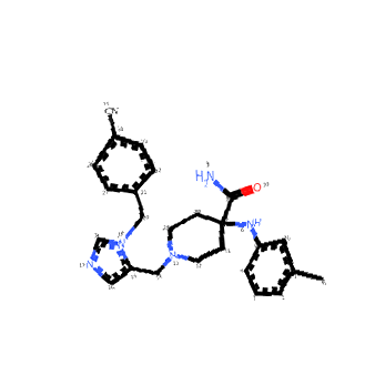 Cc1cccc(NC2(C(N)=O)CCN(Cc3cncn3Cc3ccc(C#N)cc3)CC2)c1